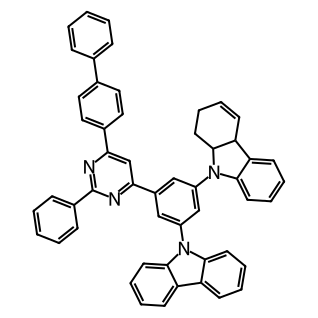 C1=CC2c3ccccc3N(c3cc(-c4cc(-c5ccc(-c6ccccc6)cc5)nc(-c5ccccc5)n4)cc(-n4c5ccccc5c5ccccc54)c3)C2CC1